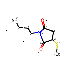 CCSC1CC(=O)N(CCCC(C)=O)C1=O